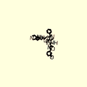 COc1cccc(-c2nc(C(=O)Nc3cnc(-c4ccccc4)n(CC(=O)NCc4cc5cnccc5[nH]4)c3=O)co2)c1